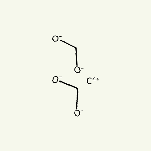 [C+4].[O-]C[O-].[O-]C[O-]